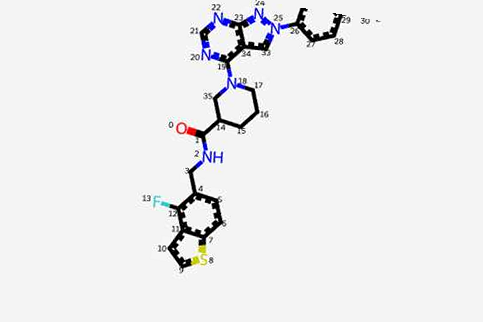 O=C(NCc1ccc2sccc2c1F)C1CCCN(c2ncnc3nn(-c4ccc(C(F)(F)F)cc4)cc23)C1